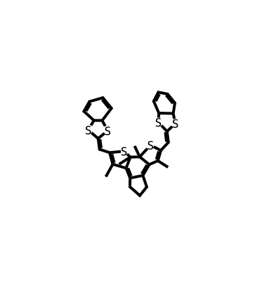 CC1=C(C=C2SC3C=CC=CC3S2)SC2(C)C1=C1CCCC1=C1C(C)=C(C=C3SC4C=CC=CC4S3)SC12C